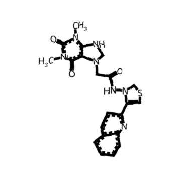 Cn1c2c(c(=O)n(C)c1=O)N(CC(=O)NN1CSC=C1c1ccc3ccccc3n1)CN2